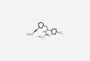 CCCCCCCCCCC#Cc1cccc(CC(NC(=O)C(=O)O)c2ccc(C(F)(F)F)cc2)c1